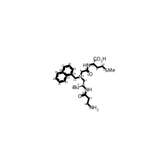 CC[C@H](C)[C@@H](CN(CC(=O)N[C@@H](CCSC)C(=O)O)Cc1cccc2ccccc12)NC(=O)CCN